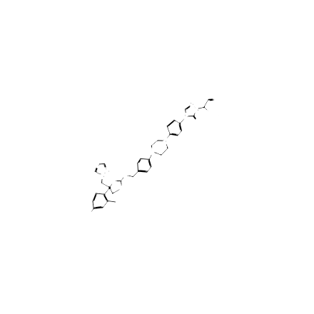 C=CC(C)n1ncn(-c2ccc(N3CCN(c4ccc(CSC5OCC(Cn6cncn6)(c6ccc(F)cc6F)O5)cc4)CC3)cc2)c1=O